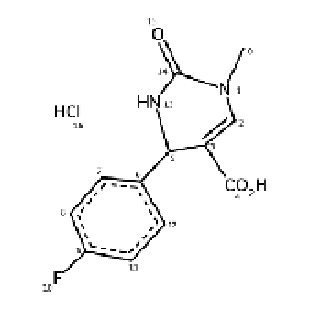 CN1C=C(C(=O)O)C(c2ccc(F)cc2)NC1=O.Cl